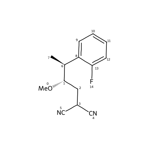 CO[C@@H](CC(C#N)C#N)[C@@H](C)c1ccccc1F